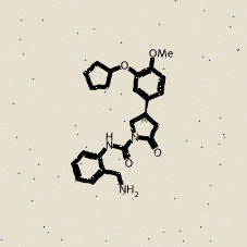 COc1ccc([C@H]2CC(=O)N(C(=O)Nc3ccccc3CN)C2)cc1OC1CCCC1